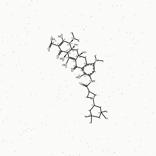 CN(C)c1cc(NC(=O)C2CN(C3CC(C)(C)CC(C)(C)C3)C2)c(O)c2c1C[C@H]1C[C@H]3[C@H](N(C)C)C(O)=C(C(N)=O)C(=O)[C@@]3(O)C(O)=C1C2=O